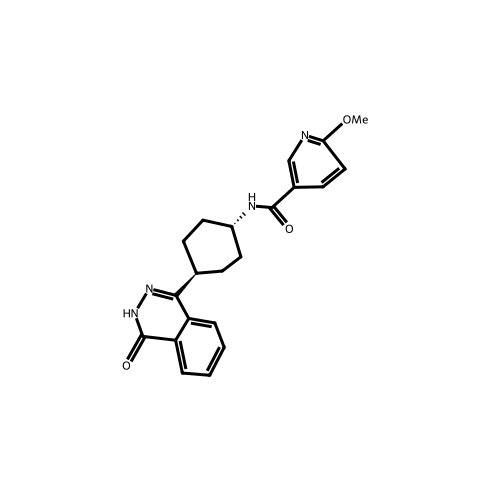 COc1ccc(C(=O)N[C@H]2CC[C@H](c3n[nH]c(=O)c4ccccc43)CC2)cn1